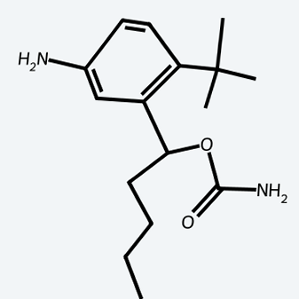 CCCCC(OC(N)=O)c1cc(N)ccc1C(C)(C)C